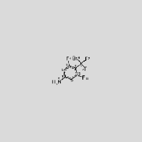 Nc1cc(F)c(C(F)(F)Br)c(F)c1